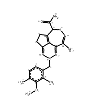 COc1c(C)cnc(CN2N=C3CCC4=C3C(=N2)C(N)=NSC4C(N)=O)c1C